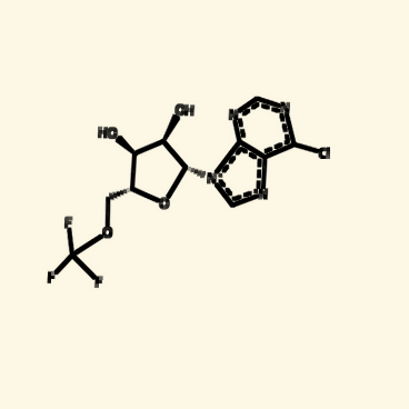 O[C@@H]1[C@H](O)[C@@H](COC(F)(F)F)O[C@H]1n1cnc2c(Cl)ncnc21